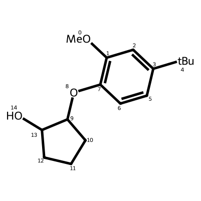 COc1cc(C(C)(C)C)ccc1OC1CCCC1O